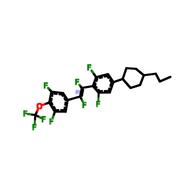 CCCC1CCC(c2cc(F)c(/C(F)=C(\F)c3cc(F)c(OC(F)(F)F)c(F)c3)c(F)c2)CC1